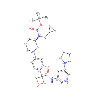 CC(C)(C)OC(=O)N(CC1CC1)[C@@H]1CCCN(c2ccc(C3(C(=O)Nc4cncc(N5CCCC5)c4)COC3)nc2)C1